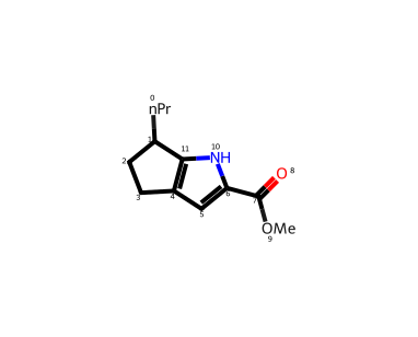 CCCC1CCc2cc(C(=O)OC)[nH]c21